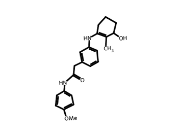 COc1ccc(NC(=O)Cc2cccc(NC3=C(C)C(O)CCC3)c2)cc1